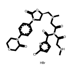 Br.CNCC(=O)N(C(=O)CN(C)C[C@H]1CN(c2ccc(N3CCOCC3=O)cc2)C(=O)O1)C(=O)c1ccc(Cl)s1